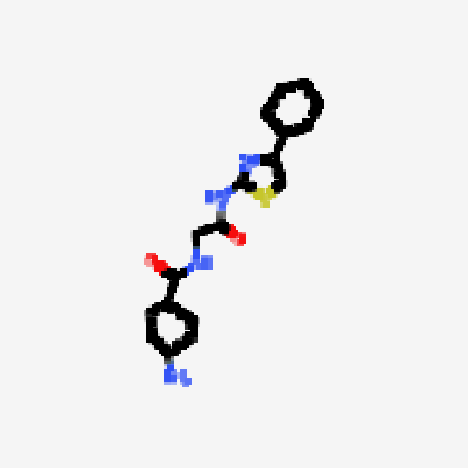 Nc1ccc(C(=O)NCC(=O)Nc2nc(-c3ccccc3)cs2)cc1